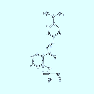 CN(C)c1ccc(/C=C/C(=O)c2ccccc2OP(=O)(O)N=O)cc1